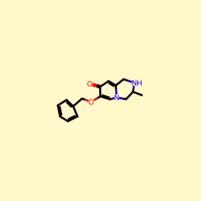 CC1Cn2cc(OCc3ccccc3)c(=O)cc2CN1